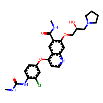 CNC(=O)Nc1ccc(Oc2ccnc3cc(OC[C@@H](O)CN4CCCC4)c(C(=O)NC)cc23)cc1Cl